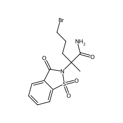 CC(CCCBr)(C(N)=O)N1C(=O)c2ccccc2S1(=O)=O